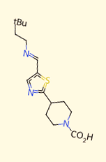 CC(C)(C)CC/N=C/c1cnc(C2CCN(C(=O)O)CC2)s1